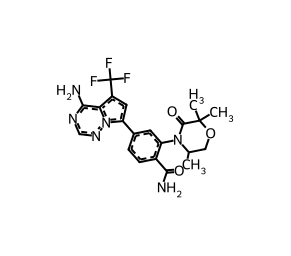 CC1COC(C)(C)C(=O)N1c1cc(-c2cc(C(F)(F)F)c3c(N)ncnn23)ccc1C(N)=O